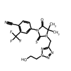 CC1(C)C(=O)N(c2ccc(C#N)c(C(F)(F)F)c2)C(=S)N1Cc1nnn(CCO)n1